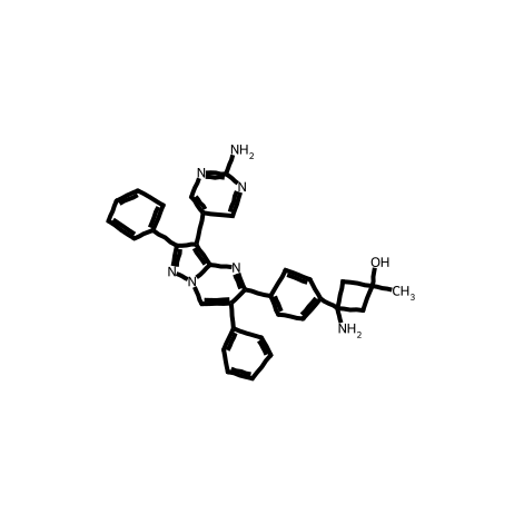 CC1(O)CC(N)(c2ccc(-c3nc4c(-c5cnc(N)nc5)c(-c5ccccc5)nn4cc3-c3ccccc3)cc2)C1